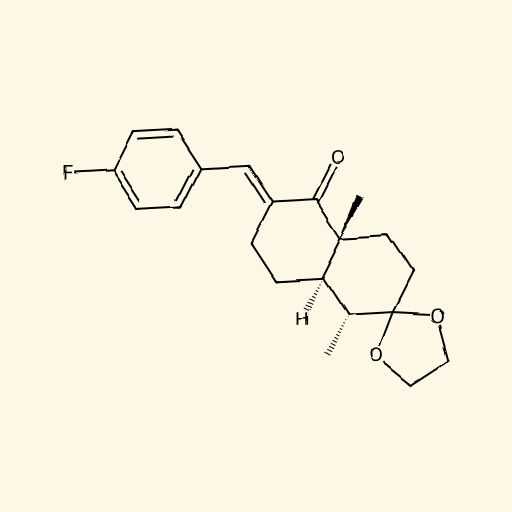 C[C@@H]1[C@H]2CC/C(=C\c3ccc(F)cc3)C(=O)[C@]2(C)CCC12OCCO2